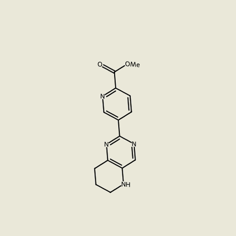 COC(=O)c1ccc(-c2ncc3c(n2)CCCN3)cn1